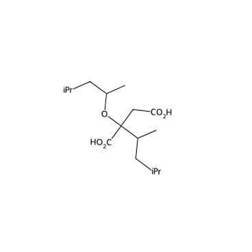 CC(C)CC(C)OC(CC(=O)O)(C(=O)O)C(C)CC(C)C